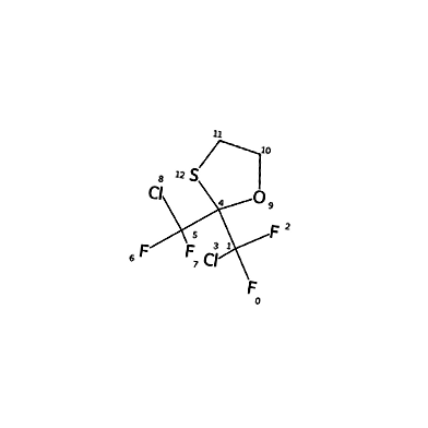 FC(F)(Cl)C1(C(F)(F)Cl)OCCS1